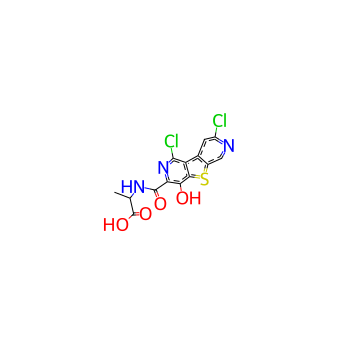 CC(NC(=O)c1nc(Cl)c2c(sc3cnc(Cl)cc32)c1O)C(=O)O